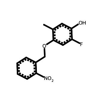 Cc1cc(O)c(F)cc1OCc1ccccc1[N+](=O)[O-]